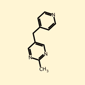 Cc1ncc(Cc2ccncc2)cn1